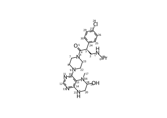 CC(C)NC[C@@H](C(=O)N1CCN(c2ncnc3c2N(C)C(O)CN3)CC1)c1ccc(Cl)cc1